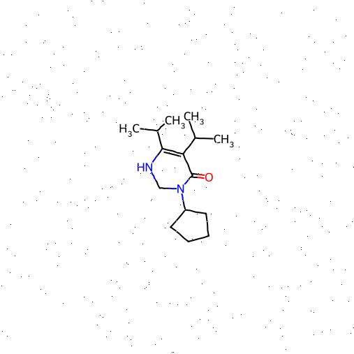 CC(C)C1=C(C(C)C)C(=O)N(C2CCCC2)CN1